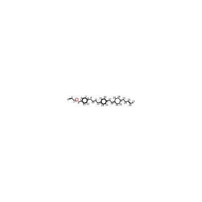 C=CCOCc1ccc(CCCCc2ccc(CCC3CCC(CCC=CC)CC3)cc2)cc1